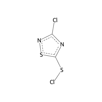 ClSc1nc(Cl)ns1